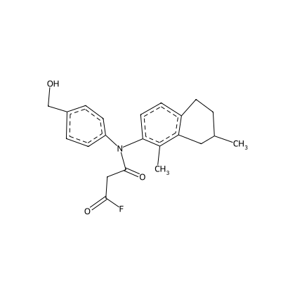 Cc1c(N(C(=O)CC(=O)F)c2ccc(CO)cc2)ccc2c1CC(C)CC2